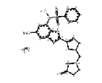 COc1cc(N(C)S(=O)(=O)c2ccccn2)c2[nH]c(C3=NCC(CN4CCC(=O)N4)S3)cc2c1.Cl.Cl